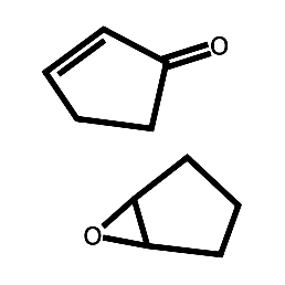 C1CC2OC2C1.O=C1C=CCC1